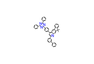 CC1(C)c2ccccc2-c2cc3c(-c4ccc(-c5nc(-c6ccccc6)nc(-c6ccccc6)n5)cc4)cc(-c4cccc(-c5ccccc5)c4)nc3cc21